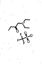 CCC(=O)C[S+](CC)CC.O=S(=O)([O-])C(F)(F)F